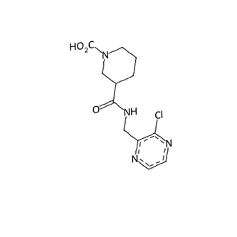 O=C(NCc1nccnc1Cl)C1CCCN(C(=O)O)C1